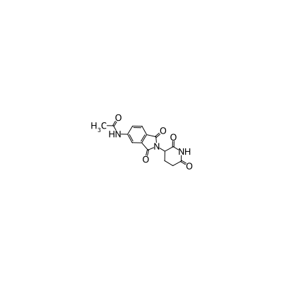 CC(=O)Nc1ccc2c(c1)C(=O)N(C1CCC(=O)NC1=O)C2=O